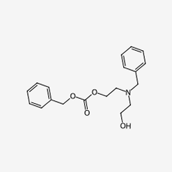 O=C(OCCN(CCO)Cc1ccccc1)OCc1ccccc1